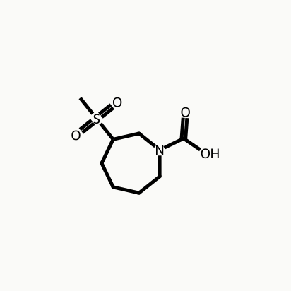 CS(=O)(=O)C1CCCCN(C(=O)O)C1